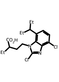 CCC(CCn1c(Cl)nc2c(Cl)ccc(C(CC)CC)c21)C(=O)O